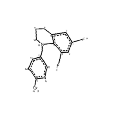 Fc1cc(F)c2c(c1)CCCN2c1ccc(C(F)(F)F)nc1